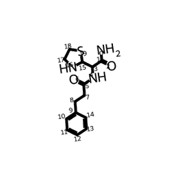 NC(=O)C(NC(=O)CCc1ccccc1)C1NCCS1